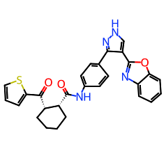 O=C(c1cccs1)[C@H]1CCCC[C@H]1C(=O)Nc1ccc(-c2n[nH]cc2-c2nc3ccccc3o2)cc1